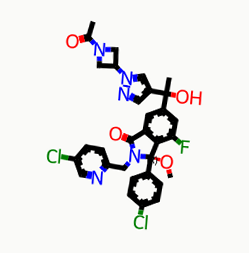 CO[C@]1(c2ccc(Cl)cc2)c2c(F)cc(C(C)(O)c3cnn(C4CN(C(C)=O)C4)c3)cc2C(=O)N1Cc1ccc(Cl)cn1